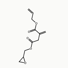 C=CCOC(=O)C(=C)CC(=O)OCC1CO1